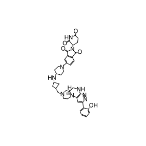 O=C1CCC(N2C(=O)c3ccc(N4CCC(N[C@H]5C[C@H](CN6CCN7c8cc(-c9ccccc9O)nnc8NC[C@H]7C6)C5)CC4)cc3C2=O)C(=O)N1